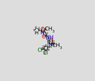 Cc1oc(-c2ccccc2)nc1CC(=O)NC[C@H]1CN(Cc2ccc(Cl)c(Cl)c2)[C@H](C)CO1